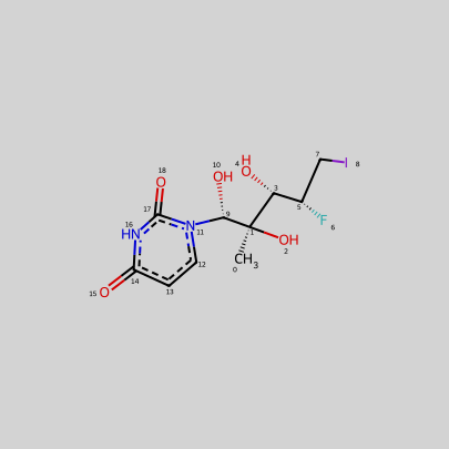 C[C@@](O)([C@H](O)[C@@H](F)CI)[C@@H](O)n1ccc(=O)[nH]c1=O